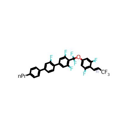 CCCc1ccc(-c2ccc(-c3cc(F)c(C(F)(F)Oc4cc(F)c(/C=C/C(F)(F)F)c(F)c4)c(F)c3)c(F)c2)cc1